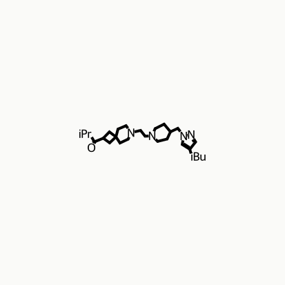 CCC(C)c1cnn(CC2CCN(CCN3CCC4(CC3)CC(C(=O)C(C)C)C4)CC2)c1